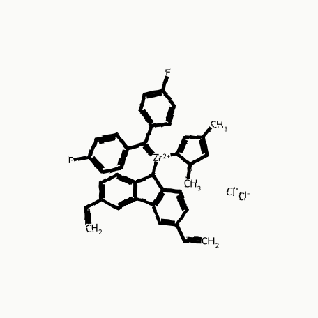 C=Cc1ccc2c(c1)-c1cc(C=C)ccc1[CH]2[Zr+2]([C]1=CC(C)=CC1C)=[C](c1ccc(F)cc1)c1ccc(F)cc1.[Cl-].[Cl-]